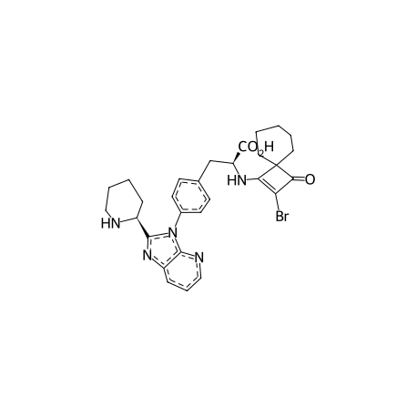 O=C(O)[C@H](Cc1ccc(-n2c([C@@H]3CCCCN3)nc3cccnc32)cc1)NC1=C(Br)C(=O)C12CCCCC2